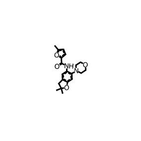 Cc1ccc(C(=O)Nc2cc3c(cc2N2CCOCC2)OC(C)(C)C3)o1